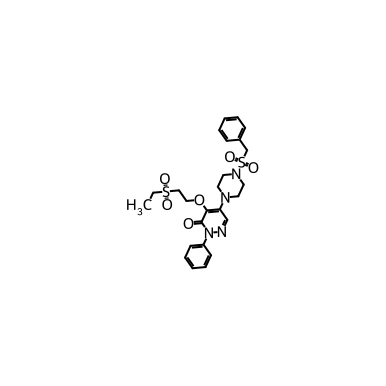 CCS(=O)(=O)CCOc1c(N2CCN(S(=O)(=O)Cc3ccccc3)CC2)cnn(-c2ccccc2)c1=O